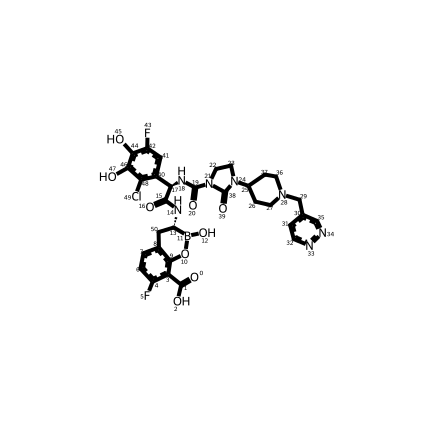 O=C(O)c1c(F)ccc2c1OB(O)[C@@H](NC(=O)[C@H](NC(=O)N1CCN(C3CCN(Cc4ccnnc4)CC3)C1=O)c1cc(F)c(O)c(O)c1Cl)C2